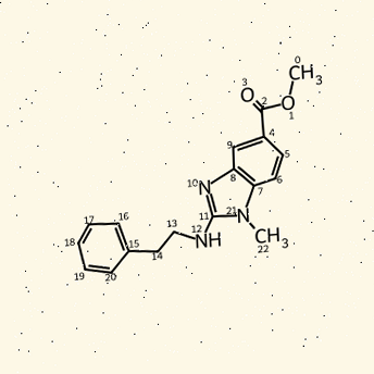 COC(=O)c1ccc2c(c1)nc(NCCc1ccccc1)n2C